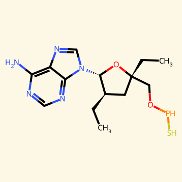 CC[C@@H]1C[C@@](CC)(COPS)O[C@H]1n1cnc2c(N)ncnc21